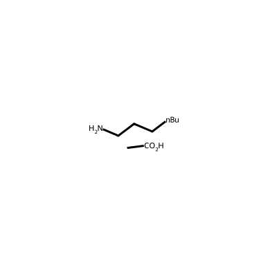 CC(=O)O.CCCCCCCN